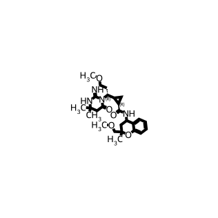 COCC[C@H](C1C[C@H]1C(=O)NC1CC(C)(COC)Oc2ccccc21)N1C(=N)NC(C)(C)CC1=O